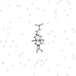 CC(C)CCN1C[C@@]2(C)CN(C(C)C)C[C@@]2(C)C1